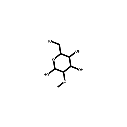 COC1C(O)OC(CO)C(O)C1O